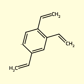 C=Cc1[c]cc(C=C)c(C=C)c1